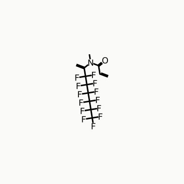 C=CC(=O)N(C)C(=C)C(F)(F)C(F)(F)C(F)(F)C(F)(F)C(F)(F)C(F)(F)F